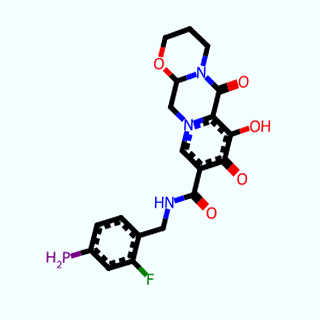 O=C(NCc1ccc(P)cc1F)c1cn2c(c(O)c1=O)C(=O)N1CCCOC1C2